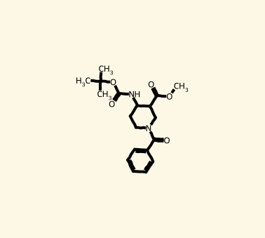 COC(=O)C1CN(C(=O)c2ccccc2)CCC1NC(=O)OC(C)(C)C